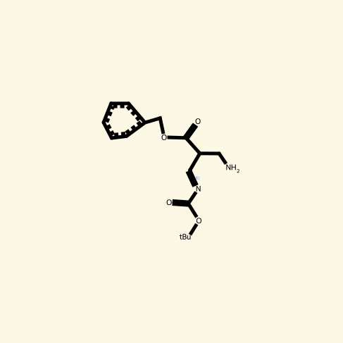 CC(C)(C)OC(=O)/N=C/C(CN)C(=O)OCc1ccccc1